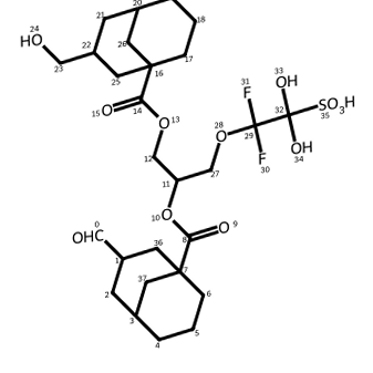 O=CC1CC2CCCC(C(=O)OC(COC(=O)C34CCCC(CC(CO)C3)C4)COC(F)(F)C(O)(O)S(=O)(=O)O)(C1)C2